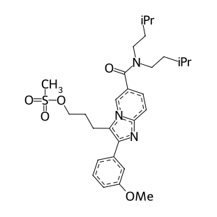 COc1cccc(-c2nc3ccc(C(=O)N(CCC(C)C)CCC(C)C)cn3c2CCCOS(C)(=O)=O)c1